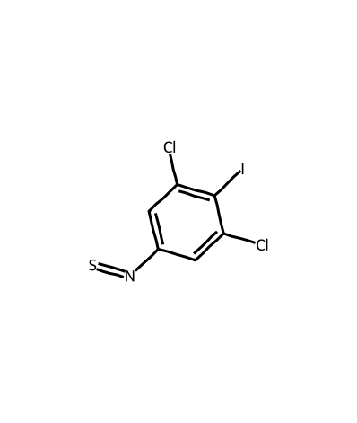 S=Nc1cc(Cl)c(I)c(Cl)c1